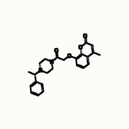 Cc1cc(=O)oc2c(OCC(=O)N3CCN(C(C)c4ccccc4)CC3)cccc12